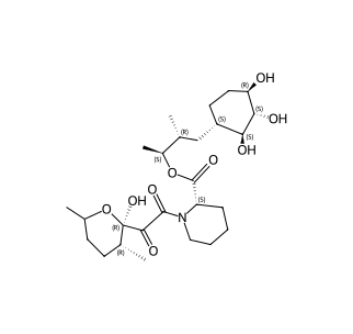 CC1CC[C@@H](C)[C@](O)(C(=O)C(=O)N2CCCC[C@H]2C(=O)O[C@@H](C)[C@H](C)C[C@@H]2CC[C@@H](O)[C@H](O)[C@H]2O)O1